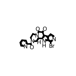 O=C1C(=O)N2CCN(C(=O)c3ccccn3)C[C@@H]2c2[nH]c3c(Br)nccc3c21